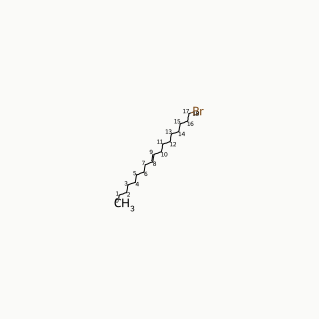 CCCCCCCCC=CCCCCCCCCBr